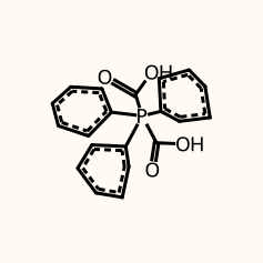 O=C(O)P(C(=O)O)(c1ccccc1)(c1ccccc1)c1ccccc1